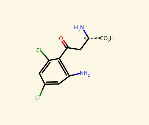 Nc1cc(Cl)cc(Cl)c1C(=O)C[C@H](N)C(=O)O